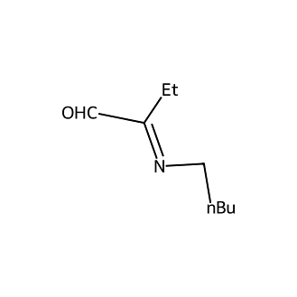 CCCCC/N=C(/C=O)CC